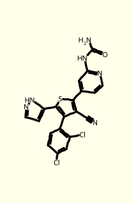 N#Cc1c(-c2ccnc(NC(N)=O)c2)sc(-c2ccn[nH]2)c1-c1ccc(Cl)cc1Cl